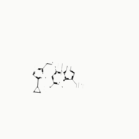 CC(C)c1cnn2c(N[C@@H](C)c3nc(C4CC4)cs3)cc(Cl)nc12